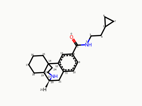 O=C(NCCC1CC1)c1ccc2c(c1)C13CCCCC1[C@@H](C2)NCC3